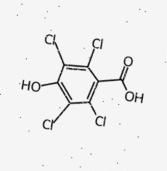 O=C(O)c1c(Cl)c(Cl)c(O)c(Cl)c1Cl